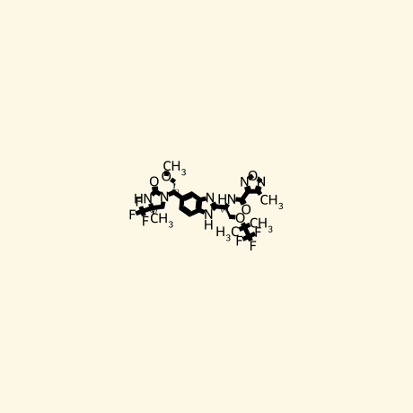 COC[C@H](c1ccc2[nH]c([C@H](COC(C)(C)C(F)(F)F)NC(=O)c3nonc3C)nc2c1)N1C[C@@](C)(C(F)(F)F)NC1=O